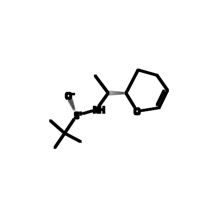 CC(N[S@@+]([O-])C(C)(C)C)[C@@H]1CCC=CO1